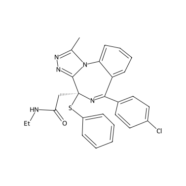 CCNC(=O)C[C@@]1(Sc2ccccc2)N=C(c2ccc(Cl)cc2)c2ccccc2-n2c(C)nnc21